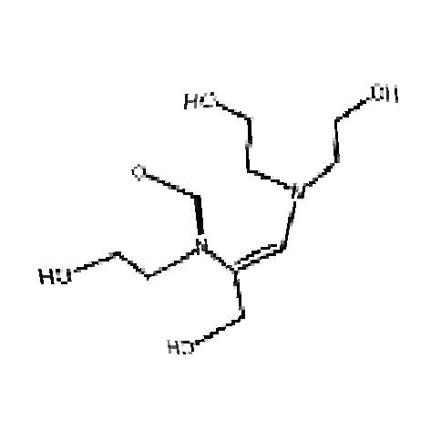 OCCN(/C=C(/CO)N(CO)CCO)CCO